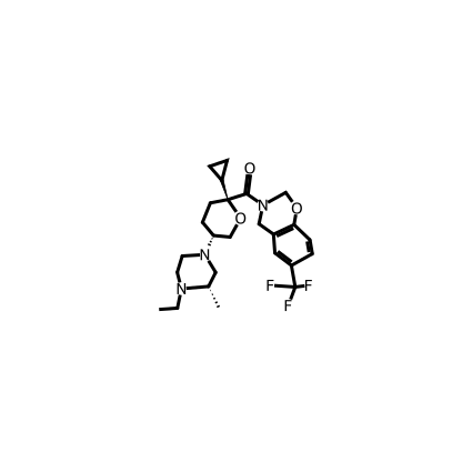 CCN1CCN([C@@H]2CC[C@@](C(=O)N3COc4ccc(C(F)(F)F)cc4C3)(C3CC3)OC2)C[C@@H]1C